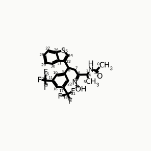 CC(=O)NC(C)C(CC(c1cc(C(F)(F)F)cc(C(F)(F)F)c1)c1csc2ccccc12)=NO